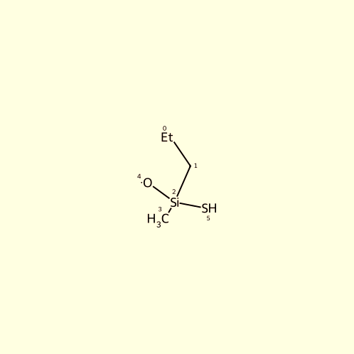 CCC[Si](C)([O])S